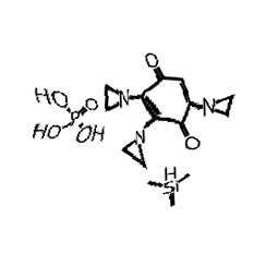 C[SiH](C)C.O=C1C=C(N2CC2)C(=O)C(N2CC2)=C1N1CC1.O=P(O)(O)O